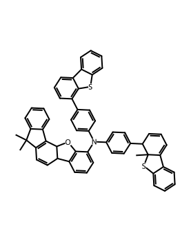 CC1(C)C2=C(c3ccccc31)C1Oc3c(cccc3N(c3ccc(-c4cccc5c4sc4ccccc45)cc3)c3ccc(C4C=CC=C5c6ccccc6SC54C)cc3)C1C=C2